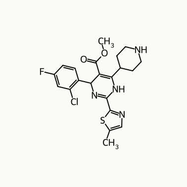 COC(=O)C1=C(C2CCNCC2)NC(c2ncc(C)s2)=NC1c1ccc(F)cc1Cl